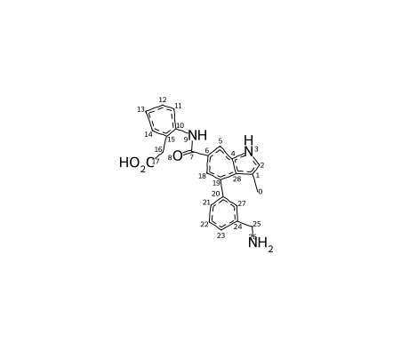 Cc1c[nH]c2cc(C(=O)Nc3ccccc3CC(=O)O)cc(-c3cccc(CN)c3)c12